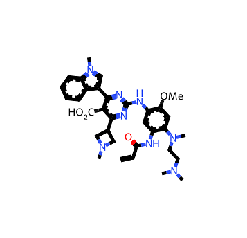 C=CC(=O)Nc1cc(Nc2nc(-c3cn(C)c4ccccc34)c(C(=O)O)c(C3CN(C)C3)n2)c(OC)cc1N(C)CCN(C)C